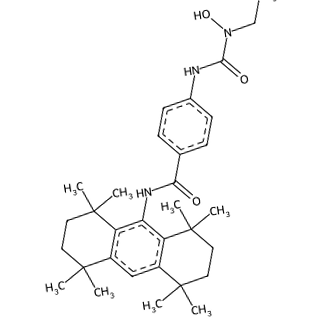 CCN(O)C(=O)Nc1ccc(C(=O)Nc2c3c(cc4c2C(C)(C)CCC4(C)C)C(C)(C)CCC3(C)C)cc1